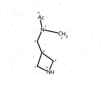 CC(=O)N(C)CC1CNC1